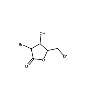 O=C1OC(CBr)C(O)C1Br